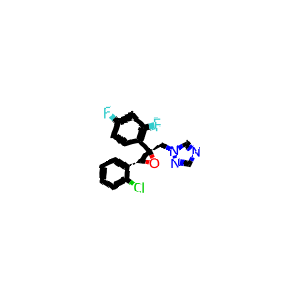 Fc1ccc([C@]2(Cn3[c]ncn3)O[C@@H]2c2ccccc2Cl)c(F)c1